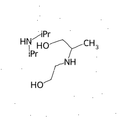 CC(C)NC(C)C.CC(CO)NCCO